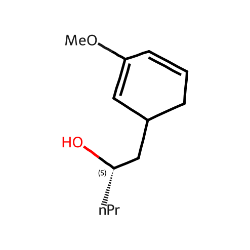 CCC[C@H](O)CC1C=C(OC)C=CC1